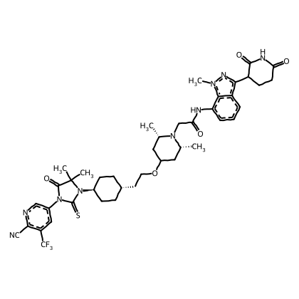 C[C@@H]1CC(OCC[C@H]2CC[C@H](N3C(=S)N(c4cnc(C#N)c(C(F)(F)F)c4)C(=O)C3(C)C)CC2)C[C@H](C)N1CC(=O)Nc1cccc2c(C3CCC(=O)NC3=O)nn(C)c12